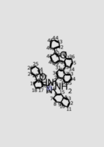 NC(N/C(=N\Cc1ccc2ccccc2c1)c1cccc2c1oc1ccccc12)c1ccc(-c2cccc3oc4c(-c5ccccc5)cccc4c23)c2ccccc12